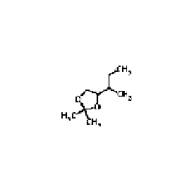 CCC(C)C1COC(C)(C)O1